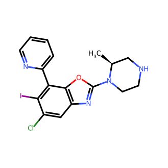 C[C@H]1CNCCN1c1nc2cc(Cl)c(I)c(-c3ccccn3)c2o1